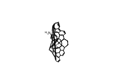 CC1(c2ccc(N)cc2)C23C4=c5c6c7c8c9ccc%10c%11ccc%12c%13ccc%14c%15c(c5c5c6c(c8%10)c%11c%12c5c%15%13)C12C%14CCC3C1C=CC9C7C41